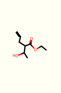 C=CCC(C(=O)OCC)C(C)O